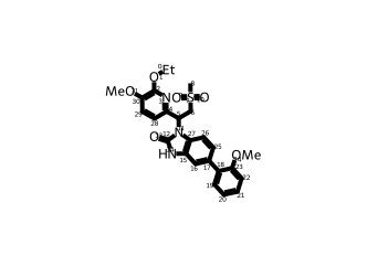 CCOc1nc(C(CS(C)(=O)=O)n2c(=O)[nH]c3cc(-c4ccccc4OC)ccc32)ccc1OC